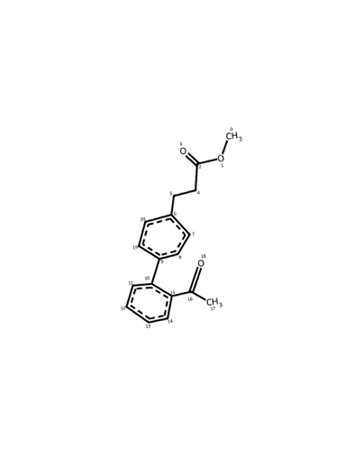 COC(=O)CCc1ccc(-c2ccccc2C(C)=O)cc1